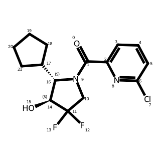 O=C(c1cccc(Cl)n1)N1CC(F)(F)[C@@H](O)[C@@H]1C1CCCC1